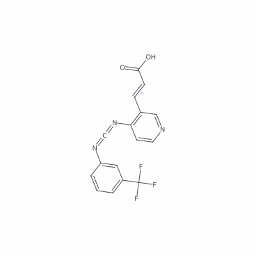 O=C(O)/C=C/c1cnccc1N=C=Nc1cccc(C(F)(F)F)c1